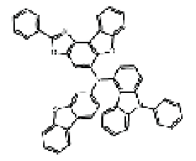 c1ccc(-c2nc3c(cc(N(c4ccc5c(c4)sc4ccccc45)c4cccc5c4c4ccccc4n5-c4ccccc4)c4oc5ccccc5c43)o2)cc1